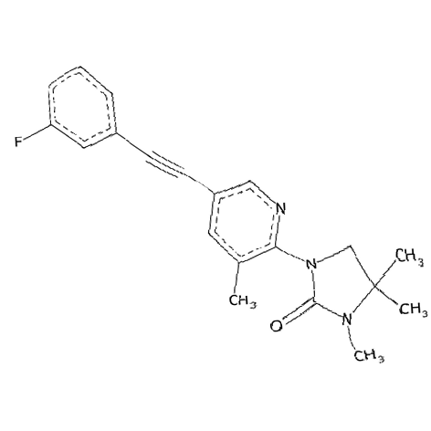 Cc1cc(C#Cc2cccc(F)c2)cnc1N1CC(C)(C)N(C)C1=O